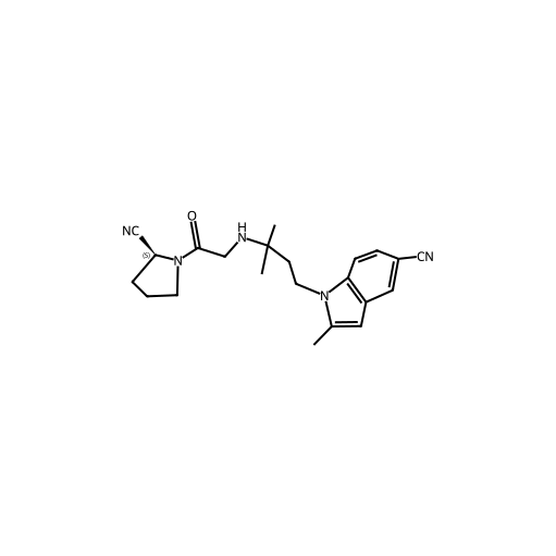 Cc1cc2cc(C#N)ccc2n1CCC(C)(C)NCC(=O)N1CCC[C@H]1C#N